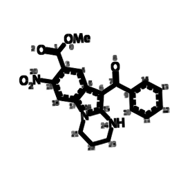 COC(=O)c1cc2c(C(=O)c3ccccc3)c3n(c2cc1[N+](=O)[O-])CCCN3